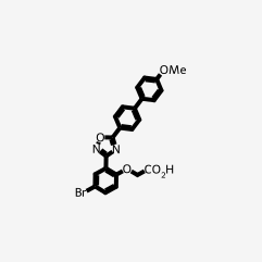 COc1ccc(-c2ccc(-c3nc(-c4cc(Br)ccc4OCC(=O)O)no3)cc2)cc1